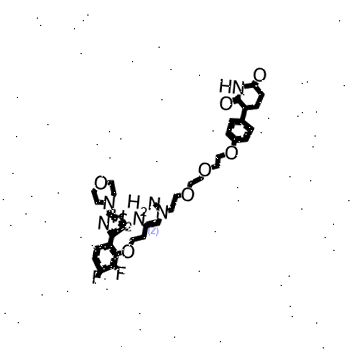 N/C(=C\N(N)CCOCCOCCOc1ccc(C2CCC(=O)NC2=O)cc1)CCOc1c(-c2csc(N3CCOCC3)n2)ccc(F)c1F